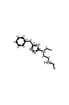 CCNCCN(CC)c1nc(Cc2ccccc2)ns1